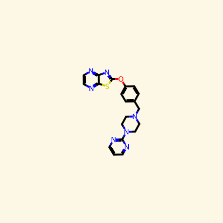 c1cnc(N2CCN(Cc3ccc(Oc4nc5nccnc5s4)cc3)CC2)nc1